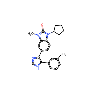 Cc1cccc(-c2[nH]cnc2-c2ccc3c(c2)n(C)c(=O)n3C2CCCC2)c1